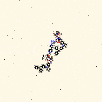 CB(CC[n+]1ccc(-c2cc[n+](CCNC(=O)Cn3c(=O)/c(=C\c4ccc5c(c4)C4CCCC4N5c4ccc(C=C(c5ccccc5)c5ccccc5)cc4)s/c3=C3/SC(=S)N(C)C3=O)cc2)cc1)OC(C)N1C(=O)/C(=C\c2ccc3c(c2)C2CCCC2N3c2ccc(C=C(c3ccccc3)c3ccccc3)cc2)SC1=S